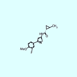 COc1ccc(-c2cc(NC(=O)[C@@H]3CC3C)sn2)cc1F